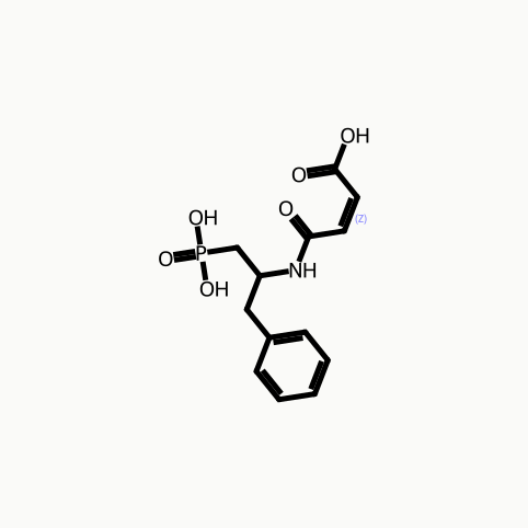 O=C(O)/C=C\C(=O)NC(Cc1ccccc1)CP(=O)(O)O